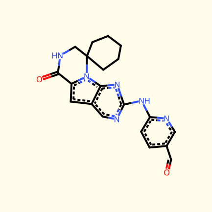 O=Cc1ccc(Nc2ncc3cc4n(c3n2)C2(CCCCC2)CNC4=O)nc1